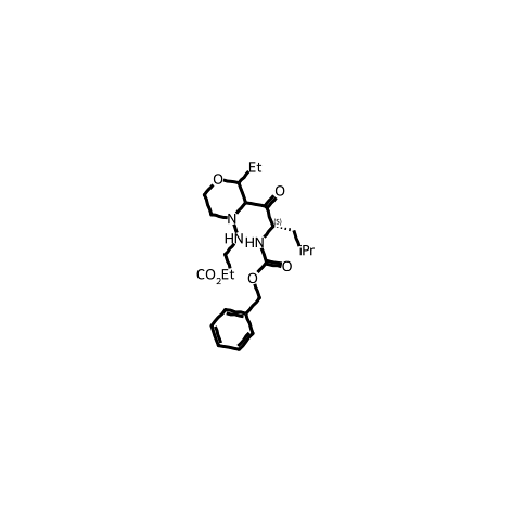 CCOC(=O)CNN1CCOC(CC)C1C(=O)[C@H](CC(C)C)NC(=O)OCc1ccccc1